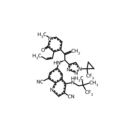 C=C(c1ccn(C)c(=O)c1/C=C\C)[C@H](Nc1cc(C#N)c2ncc(C#N)c(NCC(C)(C)C(F)(F)F)c2c1)c1cn(C2(C(F)(F)F)CC2)nn1